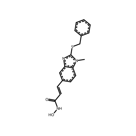 Cn1c(SCc2ccccc2)nc2cc(/C=C/C(=O)NO)ccc21